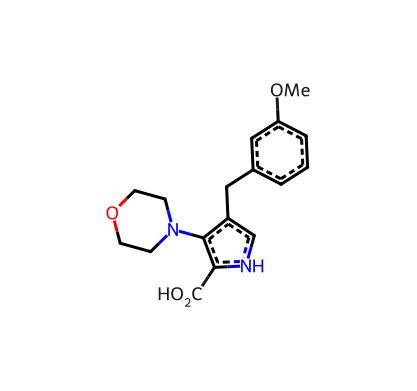 COc1cccc(Cc2c[nH]c(C(=O)O)c2N2CCOCC2)c1